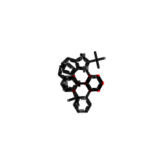 CC(C)(C)c1nc2ccccc2n1-c1ccccc1-c1ccccc1-c1ccccc1-c1ccccc1-n1c(C(C)(C)C)nc2ccccc21